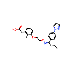 CCCC(=NOCCOc1cccc(CC(=O)O)c1C)c1ccc(-n2cccn2)cc1